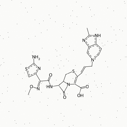 CON=C(C(=O)NC1C(=O)N2C(C(=O)O)=C(/C=C/C[n+]3ccc4[nH]c(C)nc4c3)SCC12)c1csc(N)n1